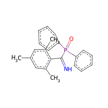 Cc1cc(C)c(C(=N)P(=O)(c2ccccc2)c2ccccc2)c(C)c1